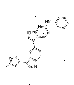 Cn1cc(-c2cnn3ccc(-c4c[nH]c5nc(Nc6ccncc6)ncc45)cc23)cn1